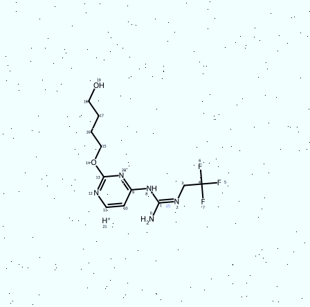 N/C(=N/CC(F)(F)F)Nc1ccnc(OCCCCO)n1.[H+]